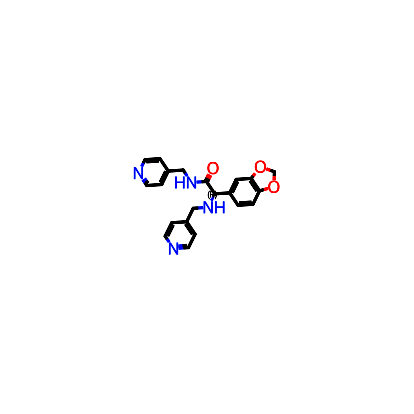 O=C(NCc1ccncc1)[C@H](NCc1ccncc1)c1ccc2c(c1)OCO2